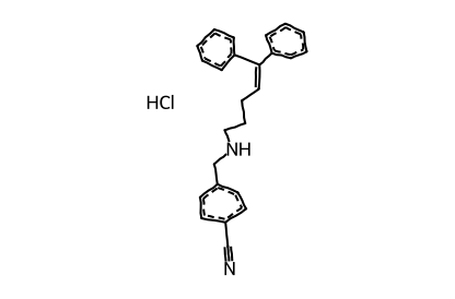 Cl.N#Cc1ccc(CNCCCC=C(c2ccccc2)c2ccccc2)cc1